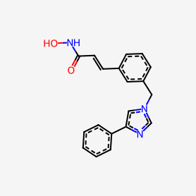 O=C(/C=C/c1cccc(Cn2cnc(-c3ccccc3)c2)c1)NO